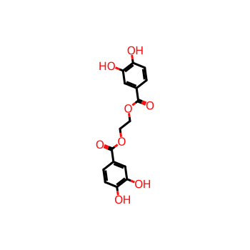 O=C(OCCOC(=O)c1ccc(O)c(O)c1)c1ccc(O)c(O)c1